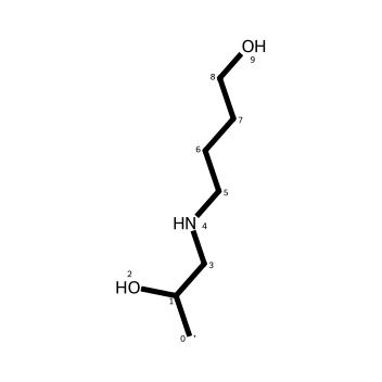 [CH2]C(O)CNCCCCO